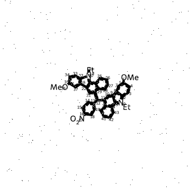 CCn1c2ccc(OC)cc2c2cc(/C(c3ccc([N+](=O)[O-])cc3)=c3/cc4c(c5ccccc35)=[N+](CC)c3ccc(OC)cc3-4)c3ccccc3c21